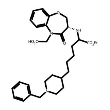 CCOC(=O)C(CCCCC1CCN(Cc2ccccc2)CC1)N[C@H]1COc2ccccc2N(CC(=O)O)C1=O